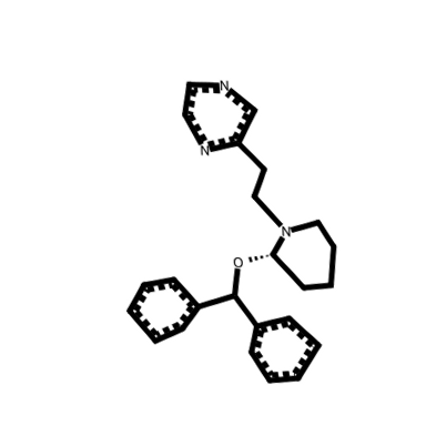 c1ccc(C(O[C@H]2CCCCN2CCc2cnccn2)c2ccccc2)cc1